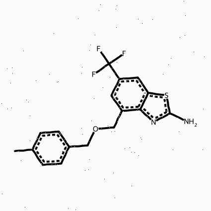 Cc1ccc(COCc2cc(C(F)(F)F)cc3sc(N)nc23)cc1